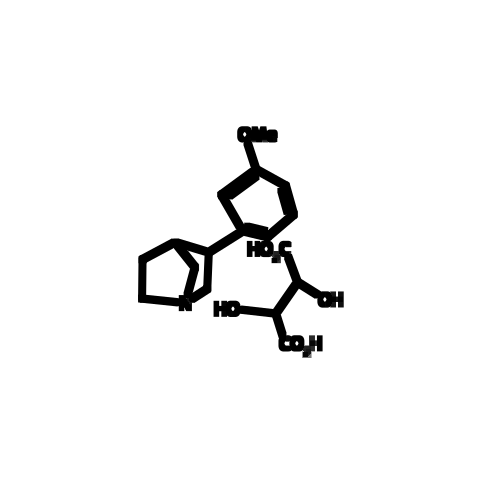 COc1cccc(C2CN3CCC2C3)c1.O=C(O)C(O)C(O)C(=O)O